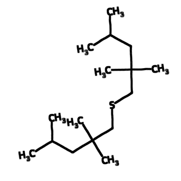 CC(C)CC(C)(C)CSCC(C)(C)CC(C)C